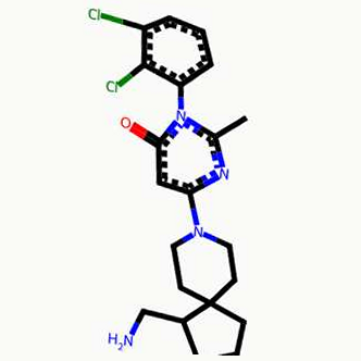 Cc1nc(N2CCC3(CCCC3CN)CC2)cc(=O)n1-c1cccc(Cl)c1Cl